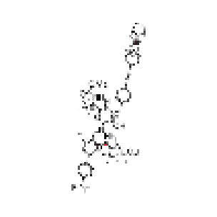 COC(=O)N[C@H](C(=O)N[C@@H](Cc1ccc(C#Cc2ccc(N3CC4CCC(C3)N4C3COC3)nc2)cc1)[C@@H](O)CN(Cc1c(F)cc(-c2ccc(C(F)F)cn2)cc1F)NC(=O)[C@@H](NC(=O)O)C(C)(C)C(F)(F)F)C(C)(C)C(F)(F)F